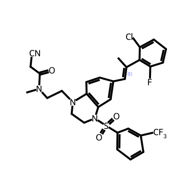 C/C(=C\c1ccc2c(c1)N(S(=O)(=O)c1cccc(C(F)(F)F)c1)CCN2CCN(C)C(=O)CC#N)c1c(F)cccc1Cl